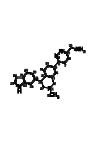 CN1Cc2cc(-c3ccc(CN)nn3)ccc2C(c2ccc3cc[nH]c3c2)C1